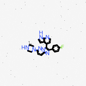 C[C@@H]1CN(c2ccc3nc(-c4ccc(F)cc4)c(-c4ccnc5[nH]ccc45)n3n2)CCN1